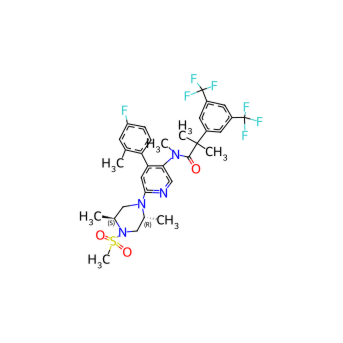 Cc1cc(F)ccc1-c1cc(N2C[C@H](C)N(S(C)(=O)=O)C[C@H]2C)ncc1N(C)C(=O)C(C)(C)c1cc(C(F)(F)F)cc(C(F)(F)F)c1